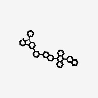 C1=C(c2cccc(-c3ccc4cc(-c5c6ccccc6c(C6C=c7ccccc7=CC6)c6ccccc56)ccc4c3)c2)C=C2c3cccnc3N(c3ccccc3)C2C1